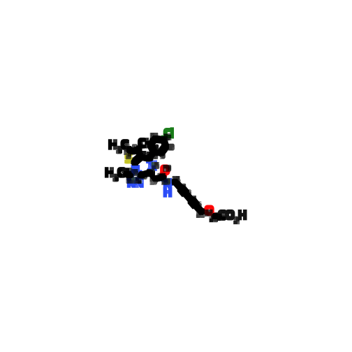 Cc1sc2c(c1C)C(c1ccc(Cl)cc1)=N[C@@H](CC(=O)NCC#CC#CCOCC(=O)O)c1nnc(C)n1-2